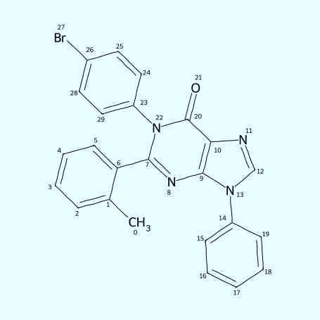 Cc1ccccc1-c1nc2c(ncn2-c2ccccc2)c(=O)n1-c1ccc(Br)cc1